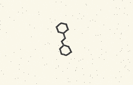 C1CCC(CCC2CCCCC2)CC1